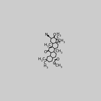 COC(=O)[C@@]12CCC3C(C(=O)C=C4[C@@]3(C)CC[C@H]3C(C)(C)C(=O)C(C#N)C[C@]43C)C1CC(C)(C)CC2